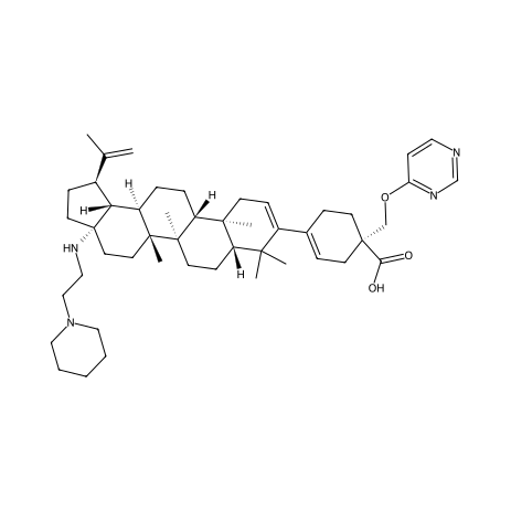 C=C(C)[C@@H]1CC[C@]2(NCCN3CCCCC3)CC[C@]3(C)[C@H](CC[C@@H]4[C@@]5(C)CC=C(C6=CC[C@](COc7ccncn7)(C(=O)O)CC6)C(C)(C)[C@@H]5CC[C@]43C)[C@@H]12